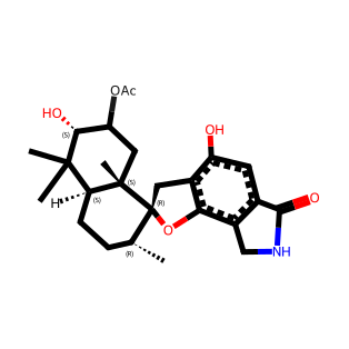 CC(=O)OC1C[C@@]2(C)[C@@H](CC[C@@H](C)[C@]23Cc2c(O)cc4c(c2O3)CNC4=O)C(C)(C)[C@@H]1O